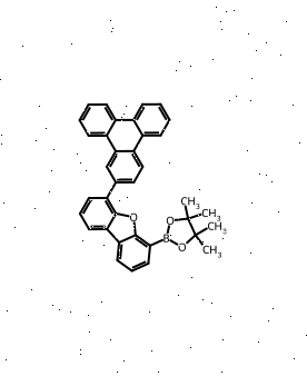 CC1(C)OB(c2cccc3c2oc2c(-c4ccc5c6ccccc6c6ccccc6c5c4)cccc23)OC1(C)C